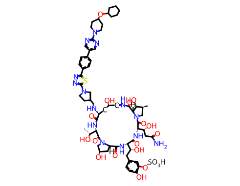 C[C@@H](O)[C@@H]1NC(=O)[C@@H](NCC2CCN(c3nnc(-c4ccc(-c5cnc(N6CCC(OC7CCCCC7)CC6)nc5)cc4)s3)C2)C[C@@H](O)CNC(=O)[C@@H]2[C@@H](O)[C@@H](C)CN2C(=O)[C@H]([C@H](O)CC(N)=O)NC(=O)[C@H]([C@H](O)Cc2ccc(O)c(OS(=O)(=O)O)c2)NC(=O)[C@@H]2C[C@@H](O)CN2C1=O